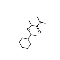 CC(OC(C)C1CCCCC1)C(=O)N(C)C